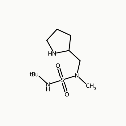 CN(CC1CCCN1)S(=O)(=O)NC(C)(C)C